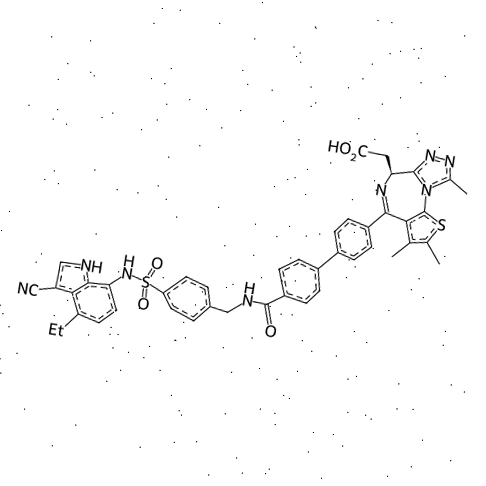 CCc1ccc(NS(=O)(=O)c2ccc(CNC(=O)c3ccc(-c4ccc(C5=N[C@@H](CC(=O)O)c6nnc(C)n6-c6sc(C)c(C)c65)cc4)cc3)cc2)c2[nH]cc(C#N)c12